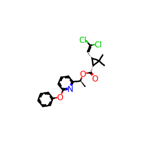 C[C@H](OC(=O)[C@@H]1[C@H](C=C(Cl)Cl)C1(C)C)c1cccc(Oc2ccccc2)n1